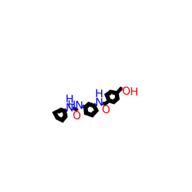 O=C(Nc1ccccc1)Nc1cccc(NC(=O)c2ccc(CO)cc2)c1